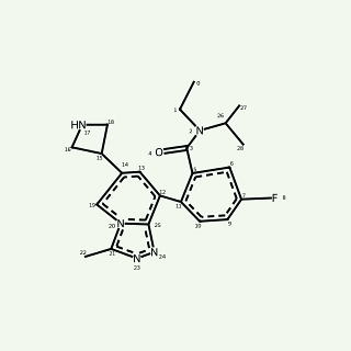 CCN(C(=O)c1cc(F)ccc1-c1cc(C2CNC2)cn2c(C)nnc12)C(C)C